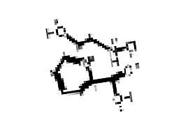 O=C(O)c1ccccn1.OCCNCl